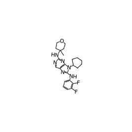 CC1(Nc2ncc3nc(Nc4cccc(F)c4F)n(C4CCCCC4)c3n2)CCOCC1